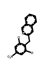 O=[N+]([O-])c1cc(Cl)c(Cc2cc3ccccc3cn2)c(Cl)c1